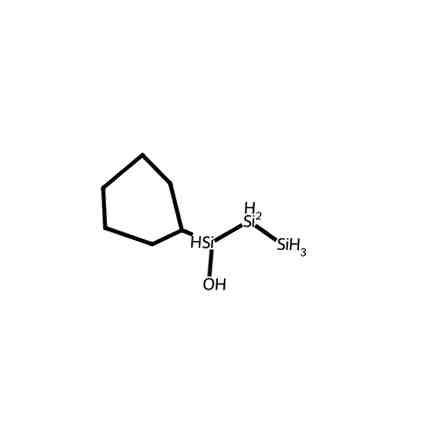 O[SiH]([SiH2][SiH3])[C]1CCCCC1